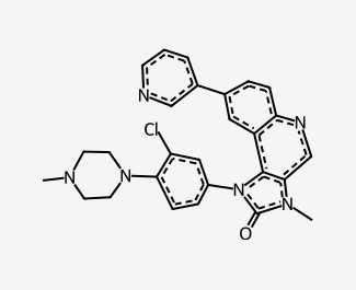 CN1CCN(c2ccc(-n3c(=O)n(C)c4cnc5ccc(-c6cccnc6)cc5c43)cc2Cl)CC1